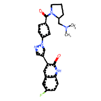 CN(C)CC1CCCN1C(=O)c1ccc(-n2cc(-c3cc4cc(F)ccc4[nH]c3=O)cn2)cc1